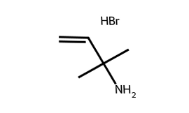 Br.C=CC(C)(C)N